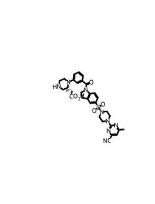 Cc1cc(C#N)nc(N2CCN(S(=O)(=O)c3ccc4c(c3)CCN4C(=O)c3cccc(N4CCNC[C@H]4CC(=O)O)c3)CC2)n1